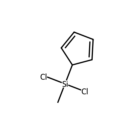 C[Si](Cl)(Cl)C1C=CC=C1